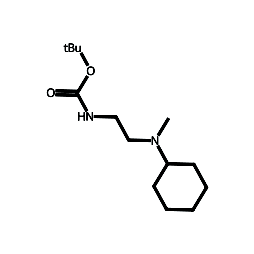 CN(CCNC(=O)OC(C)(C)C)C1CCCCC1